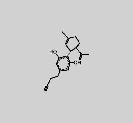 C#CCCc1cc(O)c([C@@H]2C=C(C)CC[C@H]2C(=C)C)c(O)c1